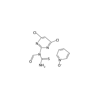 NC(=S)N(C=O)c1nc(Cl)cc(Cl)n1.[O-][n+]1ccccc1